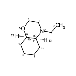 CCN1CCO[C@@H]2CCCC[C@@H]21